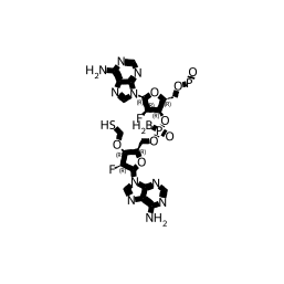 BP(=O)(OC[C@H]1OC(n2cnc3c(N)ncnc32)[C@H](F)[C@@H]1OCS)O[C@H]1[C@@H](F)[C@H](n2cnc3c(N)ncnc32)O[C@@H]1COP=O